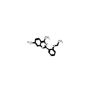 CCSc1ccccc1-c1nc(C)c2ccc(C)cc2n1